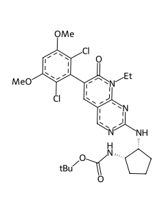 CCn1c(=O)c(-c2c(Cl)c(OC)cc(OC)c2Cl)cc2cnc(N[C@@H]3CCC[C@@H]3NC(=O)OC(C)(C)C)nc21